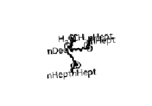 CCCCCCCCCCC(CCCCCCC(=O)OCCC(CCCCCCC)CCCCCCC)N(CCCCCCCC(=O)OCCC(CCCCCCC)CCCCCCC)C(=O)CCCN(C)C